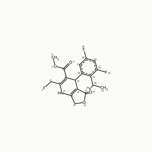 COC(=O)C1=C(CF)NC2=C(C(=O)OC2)C1c1cc(F)cc(F)c1C(C)F